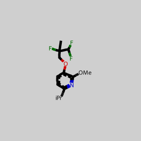 COc1nc(C(C)C)ccc1OCC(C)(F)C(F)F